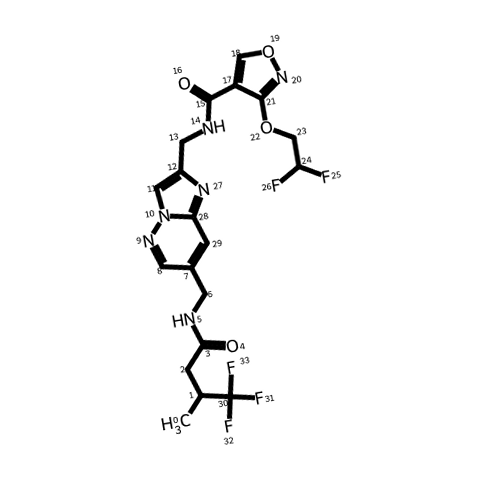 CC(CC(=O)NCc1cnn2cc(CNC(=O)c3conc3OCC(F)F)nc2c1)C(F)(F)F